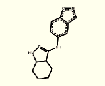 c1cc2oncc2cc1NC1=NNC2CCCCC12